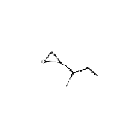 CC[C](C)C1CO1